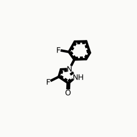 O=c1[nH]n(-c2ccccc2F)cc1F